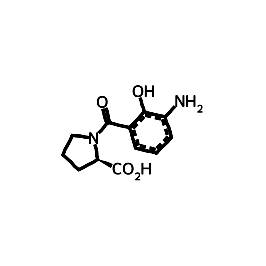 Nc1cccc(C(=O)N2CCC[C@@H]2C(=O)O)c1O